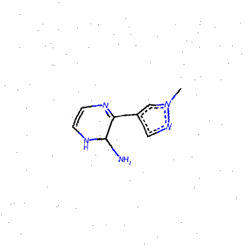 Cn1cc(C2=NC=CNC2N)cn1